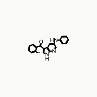 O=C(c1ccccc1F)c1c[nH]c2ncc(Nc3ccccc3)cc12